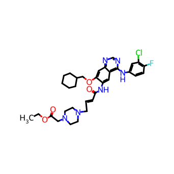 CCOC(=O)CN1CCN(CC=CC(=O)Nc2cc3c(Nc4ccc(F)c(Cl)c4)ncnc3cc2OCC2CCCCC2)CC1